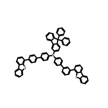 c1ccc(C2(c3ccccc3)c3ccccc3-c3cc(N(c4ccc(-c5ccc(-c6cccc7c6sc6ccccc67)cc5)cc4)c4ccc(-c5cccc(-c6cccc7c6sc6ccccc67)c5)cc4)ccc32)cc1